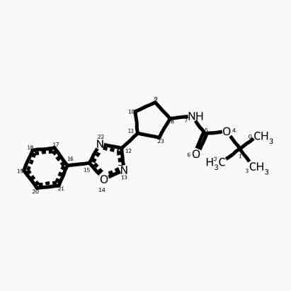 CC(C)(C)OC(=O)NC1CCC(c2noc(-c3ccccc3)n2)C1